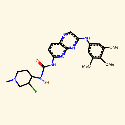 COc1cc(Nc2cnc3ccc(NC(=O)N(S)C4CCN(C)CC4F)nc3n2)cc(OC)c1OC